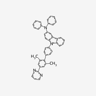 Cc1cc(-c2ncccn2)cc(C)c1-c1ccc(-n2c3ccccc3c3cc(N(c4ccccc4)c4ccccc4)ccc32)cc1